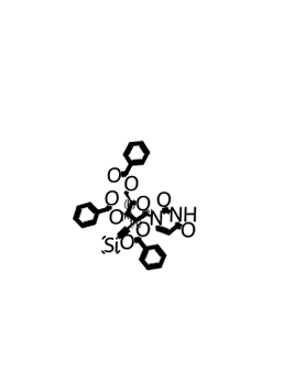 C[Si](C)(C)C#C[C@@]1(OC(=O)c2ccccc2)[C@H](OC(=O)c2ccccc2)[C@@H](COC(=O)c2ccccc2)O[C@H]1n1ccc(=O)[nH]c1=O